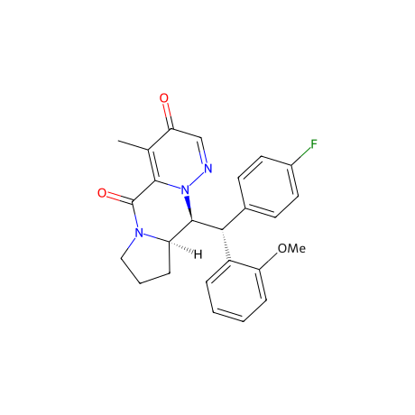 COc1ccccc1[C@@H](c1ccc(F)cc1)[C@H]1[C@H]2CCCN2C(=O)c2c(C)c(=O)cnn21